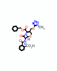 Cn1nnnc1SCC1=C(C(=O)OCc2ccccc2)N2C(=O)C(NC(=O)c3ccccc3C(=O)O)[C@@H]2SC1